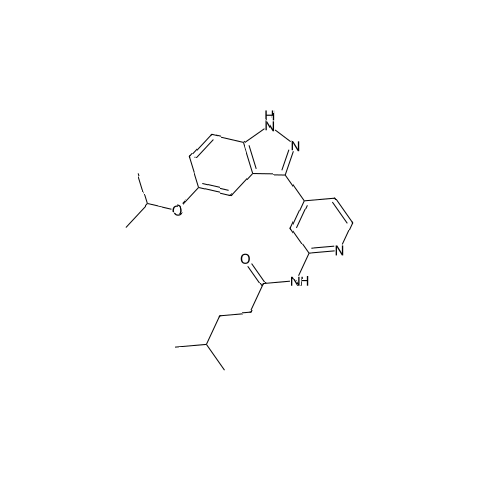 CC(C)CCC(=O)Nc1cc(-c2n[nH]c3ccc(OC(C)C)cc23)ccn1